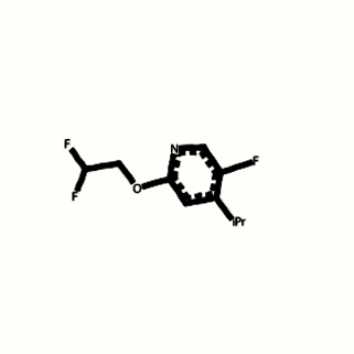 CC(C)c1cc(OCC(F)F)ncc1F